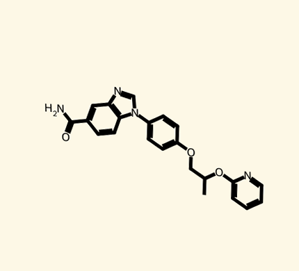 CC(COc1ccc(-n2cnc3cc(C(N)=O)ccc32)cc1)Oc1ccccn1